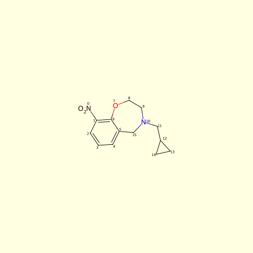 O=[N+]([O-])c1cccc2c1OCCN(CC1CC1)C2